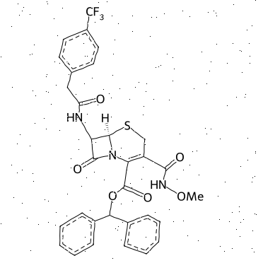 CONC(=O)C1=C(C(=O)OC(c2ccccc2)c2ccccc2)N2C(=O)C(NC(=O)Cc3ccc(C(F)(F)F)cc3)[C@H]2SC1